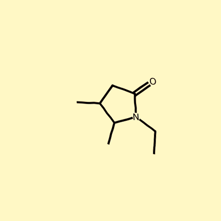 CCN1C(=O)CC(C)C1C